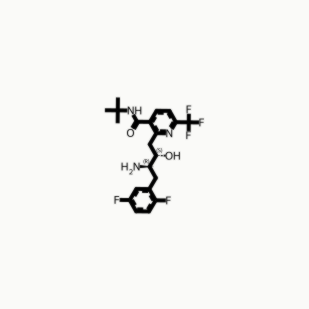 CC(C)(C)NC(=O)c1ccc(C(F)(F)F)nc1C[C@H](O)[C@H](N)Cc1cc(F)ccc1F